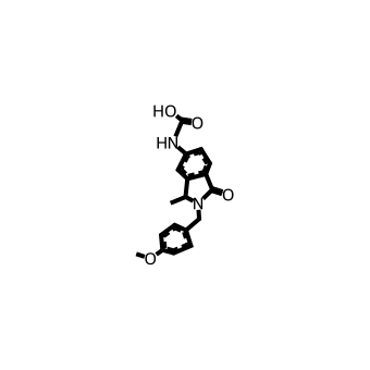 COc1ccc(CN2C(=O)c3ccc(NC(=O)O)cc3C2C)cc1